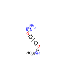 CC(C)(c1ccc(Oc2cnc(N)nn2)cc1)c1ccc(O[C@H]2C[C@H](NC(=O)O)C2)cc1